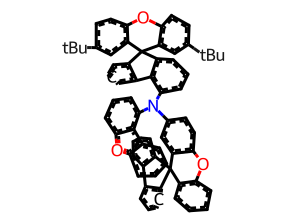 CC(C)(C)c1ccc2c(c1)C1(c3cc(C(C)(C)C)ccc3O2)c2ccccc2-c2c(N(c3ccc4c(c3)C3(c5ccccc5O4)c4ccccc4-c4ccccc43)c3cccc4oc5ccccc5c34)cccc21